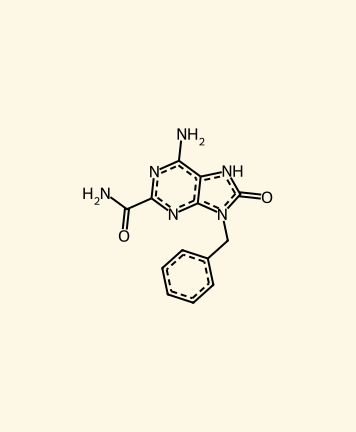 NC(=O)c1nc(N)c2[nH]c(=O)n(Cc3ccccc3)c2n1